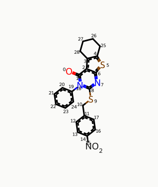 O=c1c2c3c(sc2nc(SCc2ccc([N+](=O)[O-])cc2)n1-c1ccccc1)CCCC3